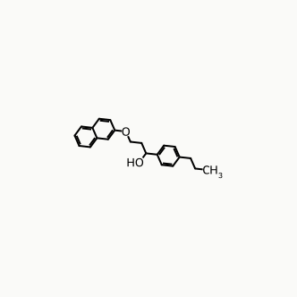 CCCc1ccc(C(O)CCOc2ccc3ccccc3c2)cc1